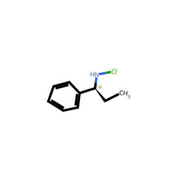 CC[C@H](NCl)c1ccccc1